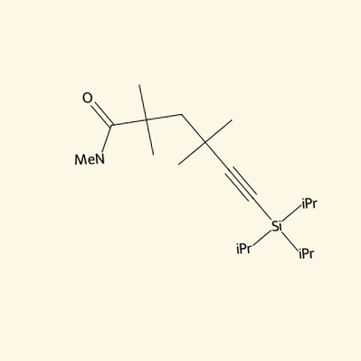 CNC(=O)C(C)(C)CC(C)(C)C#C[Si](C(C)C)(C(C)C)C(C)C